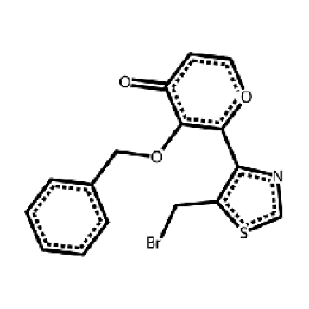 O=c1ccoc(-c2ncsc2CBr)c1OCc1ccccc1